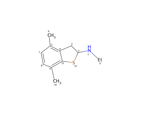 CCNC1Cc2c(C)ccc(C)c2S1